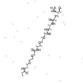 CCC(=O)NCCOCCOCC(=O)NCCOCCOCC(=O)NCCNC(=O)CSC[C@@H](C=O)NP